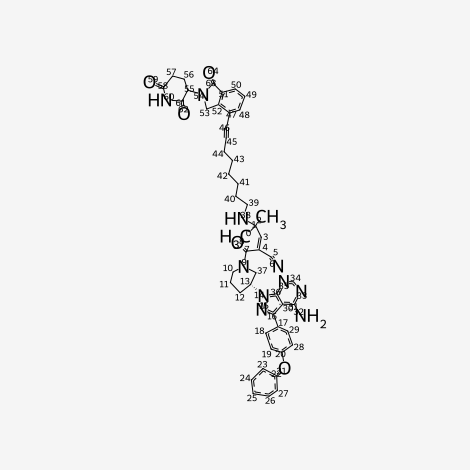 CC(C)(/C=C(/C#N)C(=O)N1CCC[C@@H](n2nc(-c3ccc(Oc4ccccc4)cc3)c3c(N)ncnc32)C1)NCCCCCCC#Cc1cccc2c1CN(C1CCC(=O)NC1=O)C2=O